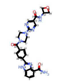 NC(=O)c1cccc2[nH]c(-c3ccc(C(=O)N4CCN(c5ncc(C(=O)NC6COC6)cn5)CC4)cc3)nc12